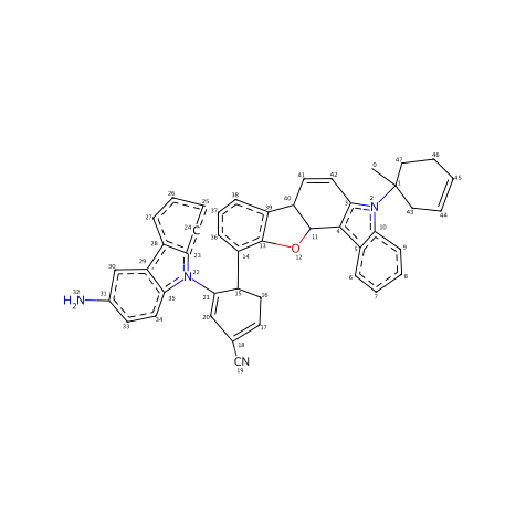 CC1(n2c3c(c4ccccc42)C2Oc4c(C5CC=C(C#N)C=C5n5c6ccccc6c6cc(N)ccc65)cccc4C2C=C3)CC=CCC1